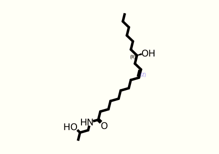 CCCCCC[C@@H](O)C/C=C\CCCCCCCC(=O)NCC(C)O